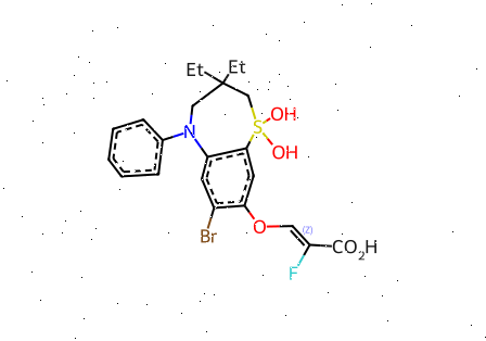 CCC1(CC)CN(c2ccccc2)c2cc(Br)c(O/C=C(\F)C(=O)O)cc2S(O)(O)C1